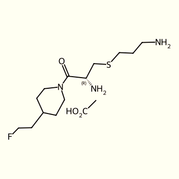 CC(=O)O.NCCCSC[C@H](N)C(=O)N1CCC(CCF)CC1